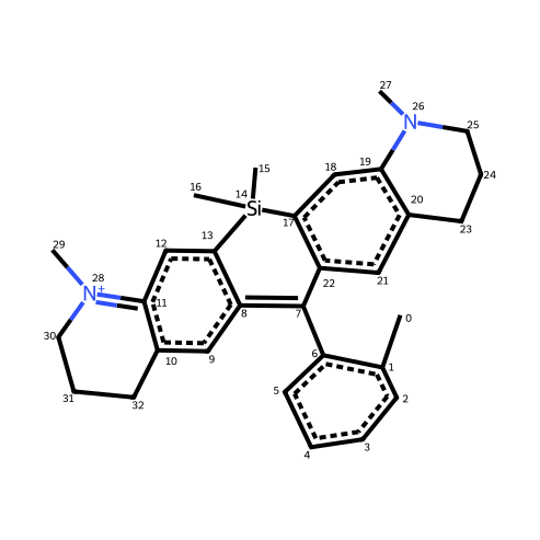 Cc1ccccc1C1=c2cc3c(cc2[Si](C)(C)c2cc4c(cc21)CCCN4C)=[N+](C)CCC3